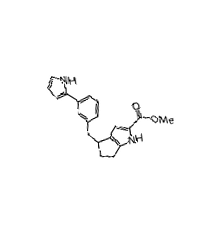 COC(=O)c1cc2c([nH]1)CCC2Cc1cccc(-c2ccc[nH]2)c1